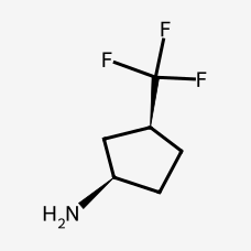 N[C@@H]1CC[C@H](C(F)(F)F)C1